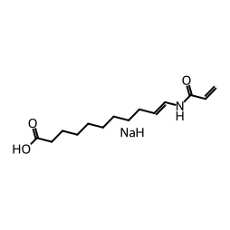 C=CC(=O)NC=CCCCCCCCCC(=O)O.[NaH]